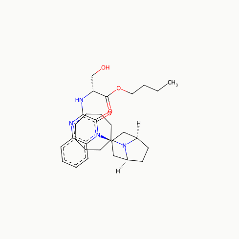 CCCCOC(=O)[C@@H](CO)Nc1nc2ccccc2n([C@H]2C[C@H]3CC[C@@H](C2)N3C2CCCCCCC2)c1=O